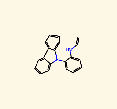 C=CNc1ccccc1-n1c2ccccc2c2ccccc21